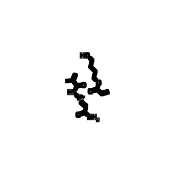 C=C(C)C(=O)NC(C)C.C=CC(=O)OCCCCO.C=CC(N)=O